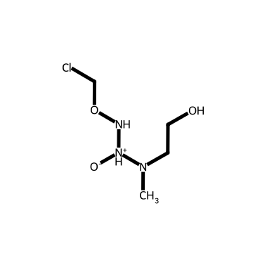 CN(CCO)[NH+]([O-])NOCCl